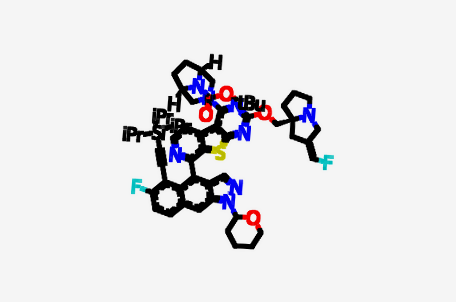 CC(C)[Si](C#Cc1c(F)ccc2cc3c(cnn3C3CCCCO3)c(-c3nccc4c3sc3nc(OC[C@@]56CCCN5C/C(=C\F)C6)nc(N5C[C@H]6CC[C@@H](C5)N6C(=O)OC(C)(C)C)c34)c12)(C(C)C)C(C)C